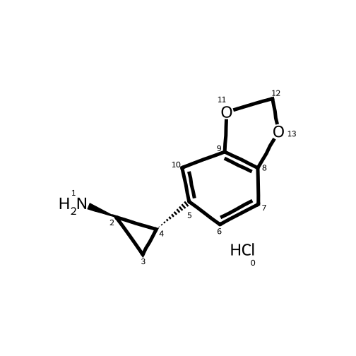 Cl.N[C@@H]1C[C@H]1c1ccc2c(c1)OCO2